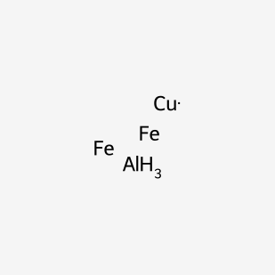 [AlH3].[Cu].[Fe].[Fe]